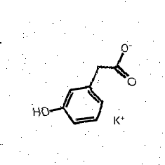 O=C([O-])Cc1cccc(O)c1.[K+]